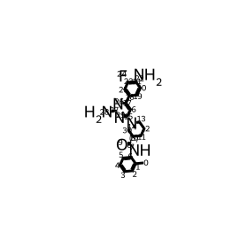 Cc1ccccc1NC(=O)[C@H]1CCCN(c2cc(-c3ccc(N)c(F)c3)nc(N)n2)C1